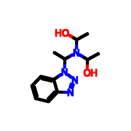 CC(O)N(C(C)O)C(C)n1nnc2ccccc21